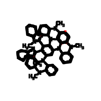 CN1c2ccccc2N(c2cc(N3c4ccccc4N(C)c4ccccc43)c(N3c4ccccc4N(C)c4ccccc43)c(-c3nc4ccccc4n3C)c2-c2nc3ccccc3n2C)c2ccccc21